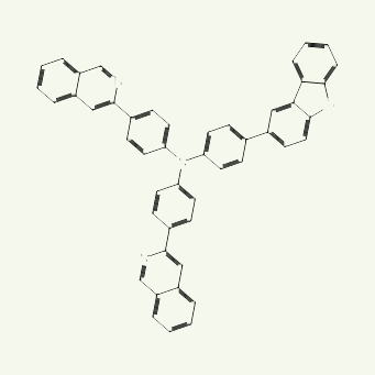 c1ccc2cc(-c3ccc(N(c4ccc(-c5ccc6oc7ccccc7c6c5)cc4)c4ccc(-c5cc6ccccc6cn5)cc4)cc3)ncc2c1